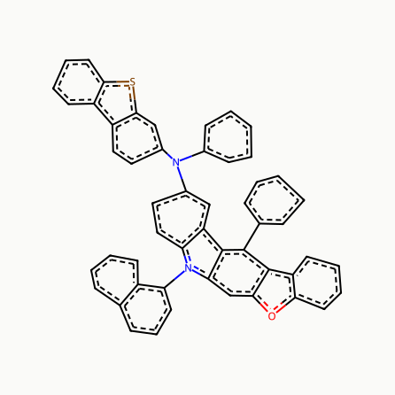 c1ccc(-c2c3c(cc4c2c2cc(N(c5ccccc5)c5ccc6c(c5)sc5ccccc56)ccc2n4-c2cccc4ccccc24)oc2ccccc23)cc1